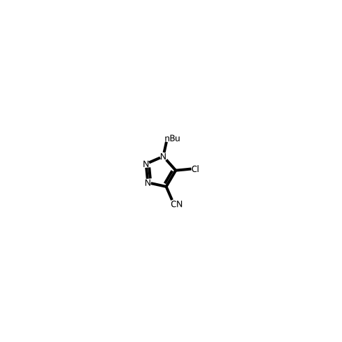 CCCCn1nnc(C#N)c1Cl